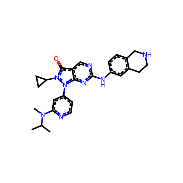 CC(C)N(C)c1cc(-n2c3nc(Nc4ccc5c(c4)CCNC5)ncc3c(=O)n2C2CC2)ccn1